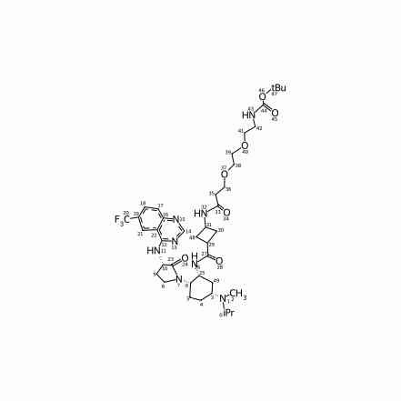 CC(C)N(C)[C@@H]1CC[C@H](N2CC[C@H](Nc3ncnc4ccc(C(F)(F)F)cc34)C2=O)[C@H](NC(=O)C2CC(NC(=O)CCOCCOCCNC(=O)OC(C)(C)C)C2)C1